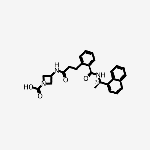 C[C@@H](NC(=O)c1ccccc1CCC(=O)NC1CN(C(=O)O)C1)c1cccc2ccccc12